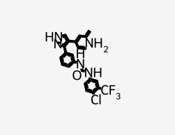 C=C/C=C(\C=C/N)c1c[nH]nc1-c1cccc(NC(=O)Nc2ccc(Cl)c(C(F)(F)F)c2)c1